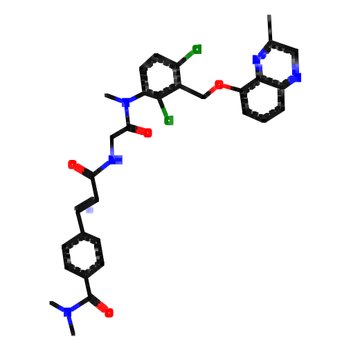 Cc1cnc2cccc(OCc3c(Cl)ccc(N(C)C(=O)CNC(=O)/C=C/c4ccc(C(=O)N(C)C)cc4)c3Cl)c2n1